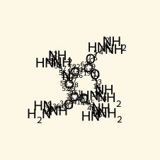 N=C(N)NCCCOc1cc(OCCCNC(=N)N)cc(-c2ccc3c(c2)c2cc(-c4cc(OCCCNC(=N)N)cc(OCCCNC(=N)N)c4)ccc2n3CCCNC(=N)N)c1